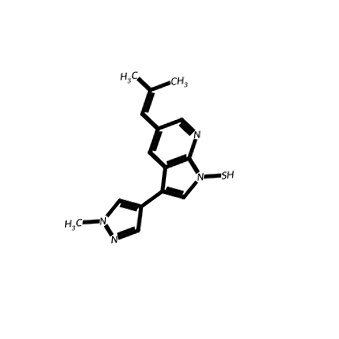 CC(C)=Cc1cnc2c(c1)c(-c1cnn(C)c1)cn2S